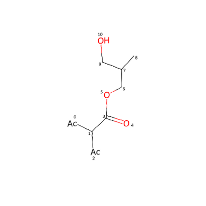 CC(=O)C(C(C)=O)C(=O)OCC(C)CO